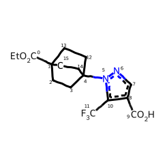 CCOC(=O)C12CCC(n3ncc(C(=O)O)c3C(F)(F)F)(CC1)CC2